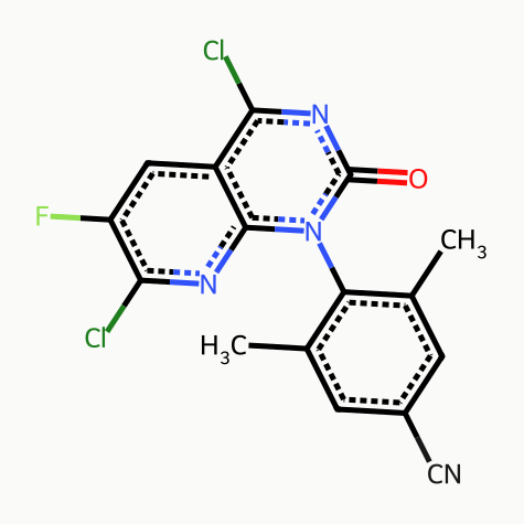 Cc1cc(C#N)cc(C)c1-n1c(=O)nc(Cl)c2cc(F)c(Cl)nc21